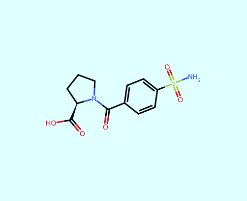 NS(=O)(=O)c1ccc(C(=O)N2CCC[C@@H]2C(=O)O)cc1